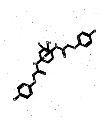 O=C(COc1ccc(Cl)cc1)NC12CCC(NC(=O)COc3ccc(Cl)cc3)(CC1)[C@@H](O)C2